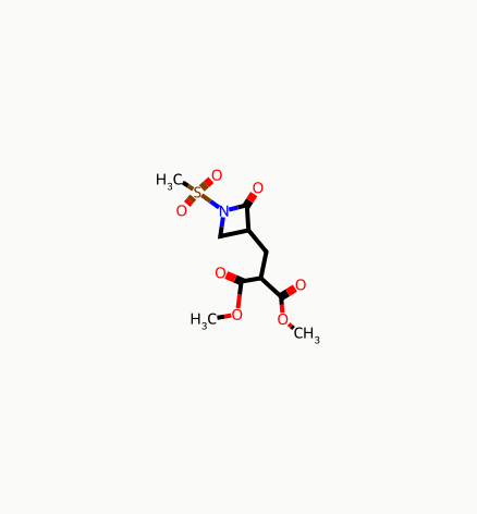 COC(=O)C(CC1CN(S(C)(=O)=O)C1=O)C(=O)OC